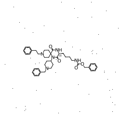 O=C(NCCCC[C@@H]1NC(=O)C2(CCN(CCc3ccccc3)CC2)N(C2CCN(Cc3ccccc3)CC2)C1=O)OCc1ccccc1